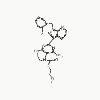 COCCOC(=O)N1CCNc2nc(-c3nn(Cc4ccccc4F)c4ncccc34)nc(N)c21